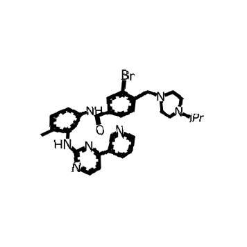 Cc1ccc(NC(=O)c2ccc(CN3CCN(C(C)C)CC3)c(Br)c2)cc1Nc1nccc(-c2cccnc2)n1